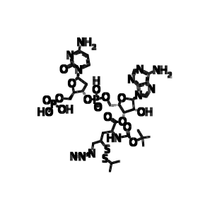 CC(C)SSC(CN=[N+]=[N-])CC(NC(=O)OC(C)(C)C)C(=O)O[C@H]1[C@@H](O)[C@H](n2cnc3c(N)ncnc32)O[C@H]1COP(=O)(O)O[C@H]1C[C@H](n2ccc(N)nc2=O)O[C@@H]1COP(=O)(O)O